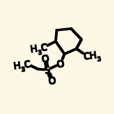 CCS(=O)(=O)OC1C(C)CCCC1C